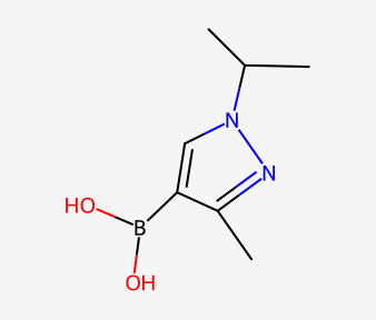 Cc1nn(C(C)C)cc1B(O)O